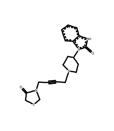 O=C1CSCN1CC#CCN1CCC(n2c(=O)[nH]c3ccccc32)CC1